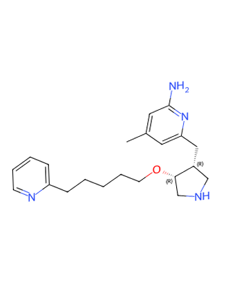 Cc1cc(N)nc(C[C@@H]2CNC[C@@H]2OCCCCCc2ccccn2)c1